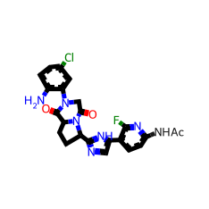 CC(=O)Nc1ccc(-c2cnc(C3CCC4C(=O)N(c5cc(Cl)ccc5N)CC(=O)N43)[nH]2)c(F)n1